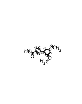 COc1cc(OC)cc(-c2nc(C(=O)O)cs2)c1